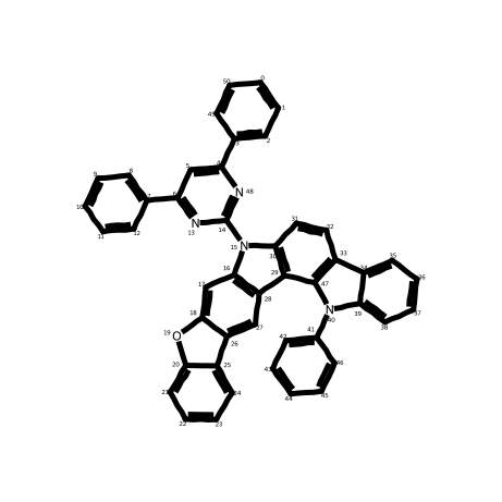 c1ccc(-c2cc(-c3ccccc3)nc(-n3c4cc5oc6ccccc6c5cc4c4c3ccc3c5ccccc5n(-c5ccccc5)c34)n2)cc1